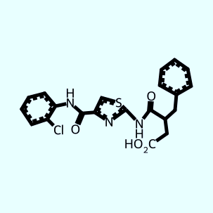 O=C(O)CC(Cc1ccccc1)C(=O)Nc1nc(C(=O)Nc2ccccc2Cl)cs1